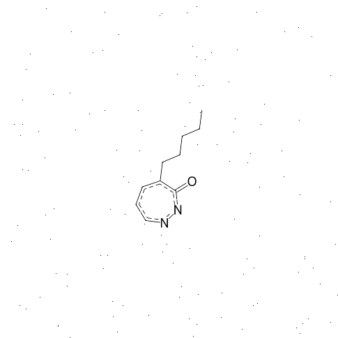 CCCCCc1cccnnc1=O